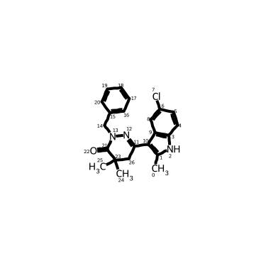 Cc1[nH]c2ccc(Cl)cc2c1C1=NN(Cc2ccccc2)C(=O)C(C)(C)C1